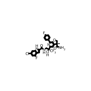 C[C@]1(C(N)=O)COc2c1cc([C@@](O)(CNC(=O)c1cc3c(F)cc(Cl)cc3[nH]1)C(F)(F)F)nc2-c1ccc(F)cc1